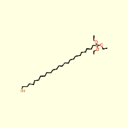 CCO[Si](CCCCCCCCCCCCCCCCCCCCCCCCCS)(OCC)OCC